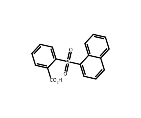 O=C(O)c1ccccc1S(=O)(=O)c1cccc2ccccc12